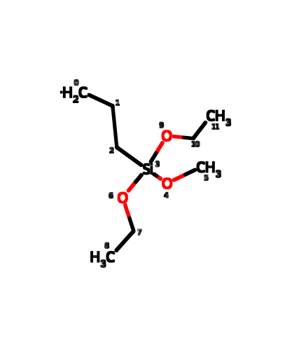 [CH2]CC[Si](OC)(OCC)OCC